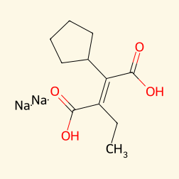 CCC(C(=O)O)=C(C(=O)O)C1CCCC1.[Na].[Na]